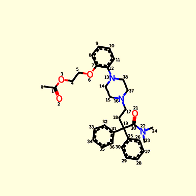 CC(=O)OCCOc1ccccc1N1CCN(CCC(C(=O)N(C)C)(c2ccccc2)c2ccccc2)CC1